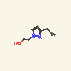 CC(C)Cc1c[c]n(CCO)n1